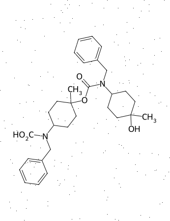 CC1(O)CCC(N(Cc2ccccc2)C(=O)OC2(C)CCC(N(Cc3ccccc3)C(=O)O)CC2)CC1